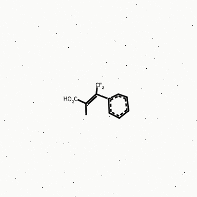 CC(C(=O)O)=C(c1ccccc1)C(F)(F)F